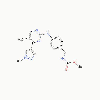 Cc1cnc(Nc2ccc(CNC(=O)OC(C)(C)C)cc2)nc1-c1cnn(C(C)C)c1